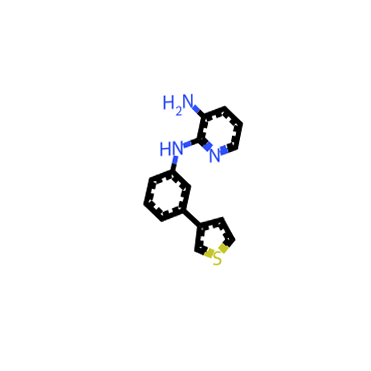 Nc1cccnc1Nc1cccc(-c2ccsc2)c1